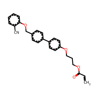 C=CC(=O)OCCCOc1ccc(-c2ccc(COc3ccccc3C#N)cc2)cc1